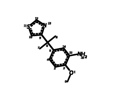 COc1ccc(C(C)(C)c2cscn2)cc1N